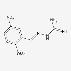 COc1ccc([N+](=O)[O-])cc1C=NNC(=N)N